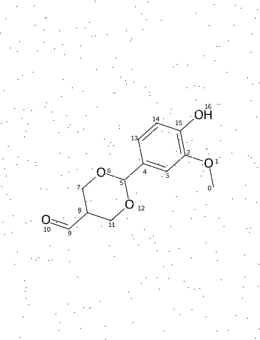 COc1cc(C2OCC(C=O)CO2)ccc1O